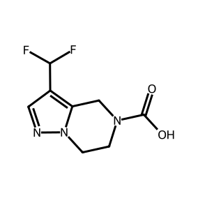 O=C(O)N1CCn2ncc(C(F)F)c2C1